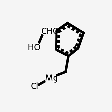 O=CO.[Cl][Mg][CH2]c1ccccc1